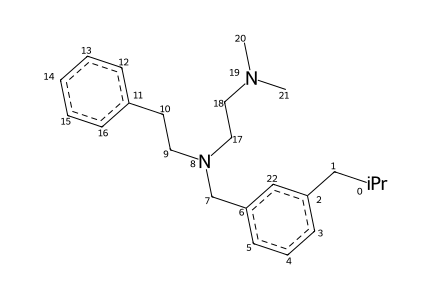 CC(C)Cc1cccc(CN(CCc2ccccc2)CCN(C)C)c1